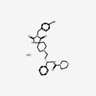 Cl.O=C(N[C@@H](CCN1CCC2(CC1)NC(=O)N(Cc1ccc(Br)cc1)C2=O)c1ccccc1)N1CCOCC1